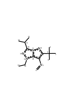 C=Nc1c(C(C)(C)C)nn2c(C(C)C)nn(CC)c12